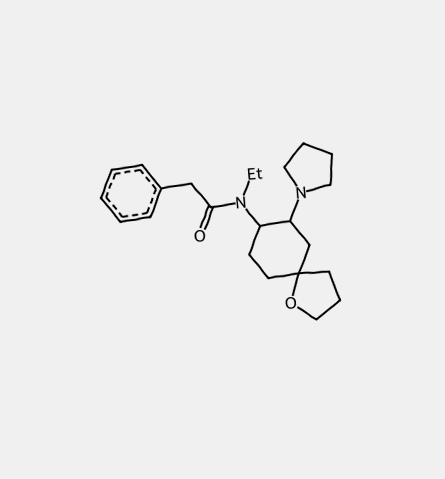 CCN(C(=O)Cc1ccccc1)C1CCC2(CCCO2)CC1N1CCCC1